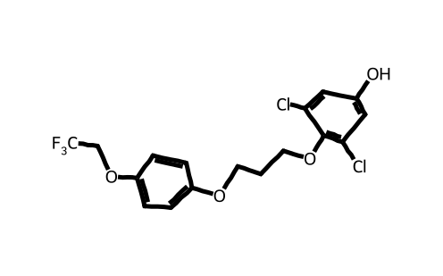 Oc1cc(Cl)c(OCCCOc2ccc(OCC(F)(F)F)cc2)c(Cl)c1